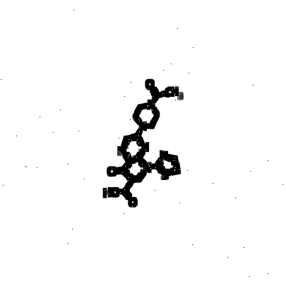 CC(=O)N1CCN(c2cnc3c(=O)c(C(=O)O)cn(-c4nccs4)c3n2)CC1